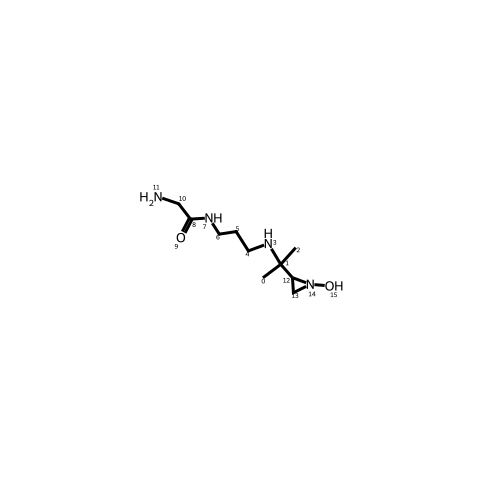 CC(C)(NCCCNC(=O)CN)C1CN1O